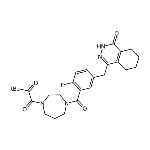 CC(C)(C)C(=O)C(=O)N1CCCN(C(=O)c2cc(Cc3n[nH]c(=O)c4c3CCCC4)ccc2F)CC1